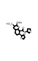 COc1nc2c(C(=O)Nc3ccsc3)c(-c3ccco3)ccc2cc1C(=O)O